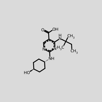 CCC(C)(C)Nc1nc(N[C@H]2CC[C@H](O)CC2)ncc1C(=O)O